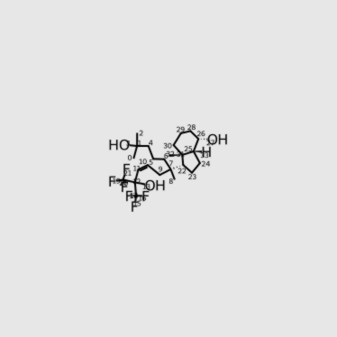 CC(C)(O)CCCC(C)(C/C=C\C(O)(C(F)(F)F)C(F)(F)F)[C@H]1CC[C@H]2[C@@H](O)CCC[C@@]12C